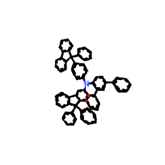 c1ccc(-c2ccc(N(c3ccc(C4(c5ccccc5)c5ccccc5-c5ccccc54)cc3)c3ccc4c(c3)-c3ccccc3C4(c3ccccc3)c3ccccc3)c(-c3ccccc3)c2)cc1